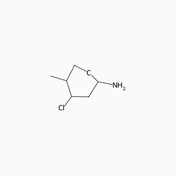 CC1CCC(N)CC1Cl